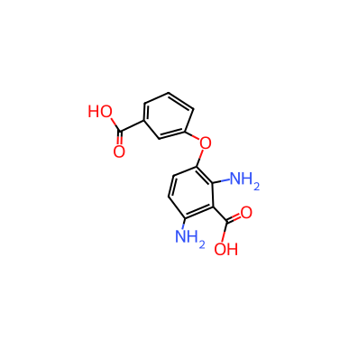 Nc1ccc(Oc2cccc(C(=O)O)c2)c(N)c1C(=O)O